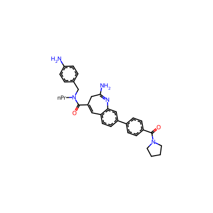 CCCN(Cc1ccc(N)cc1)C(=O)C1=Cc2ccc(-c3ccc(C(=O)N4CCCC4)cc3)cc2N=C(N)C1